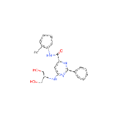 CC(=O)c1ccccc1NC(=O)c1cc(NC(CO)CO)nc(-c2ccccc2)n1